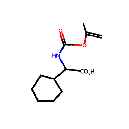 C=C(C)OC(=O)NC(C(=O)O)C1CCCCC1